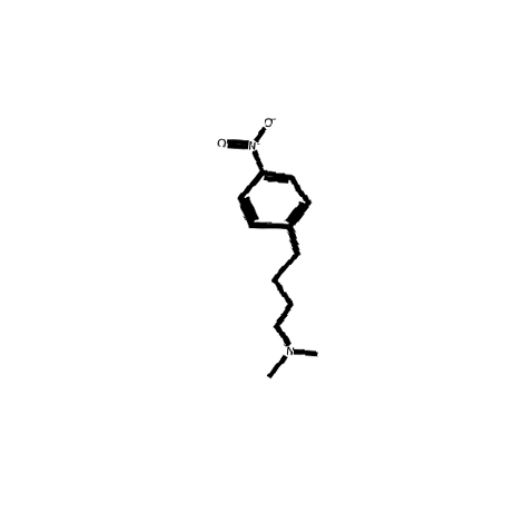 CN(C)CCCCc1ccc([N+](=O)[O-])cc1